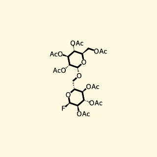 CC(=O)OC[C@H]1O[C@H](OC[C@H]2O[C@H](F)[C@H](OC(C)=O)[C@@H](OC(C)=O)[C@@H]2OC(C)=O)[C@H](OC(C)=O)[C@@H](OC(C)=O)[C@@H]1OC(C)=O